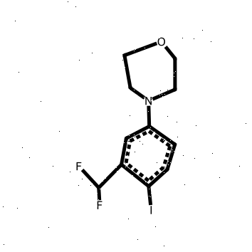 FC(F)c1cc(N2CCOCC2)ccc1I